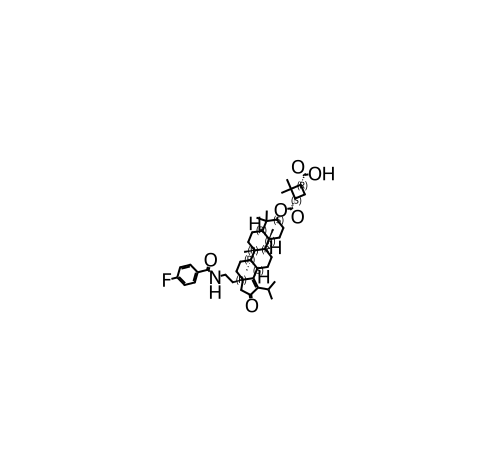 CC(C)C1=C2[C@H]3CC[C@@H]4[C@@]5(C)CC[C@H](OC(=O)[C@H]6C[C@@H](C(=O)O)C6(C)C)C(C)(C)[C@@H]5CC[C@@]4(C)[C@]3(C)CC[C@@]2(CCNC(=O)c2ccc(F)cc2)CC1=O